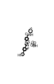 CN1CCC(NC(=O)c2ccc3c(c2)sc2nc(-c4ccc(C5CCNC5)cc4F)cn23)CC1.O=CO.O=CO